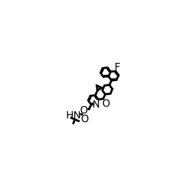 CC(C)(C)NC(=O)OCc1ccc(C2CC2)c(C(=O)C2CCC(c3ccc(F)c4ccccc34)CC2)n1